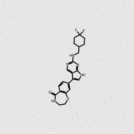 O=C1NCCOc2cc(-c3c[nH]c4nc(NCC5CCC(F)(F)CC5)ncc34)ccc21